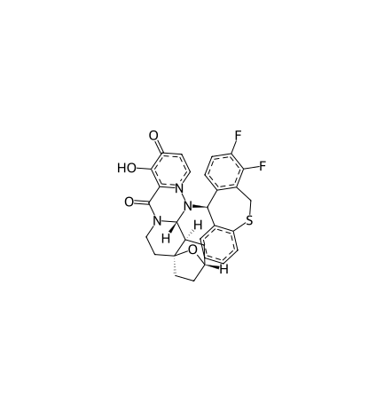 O=C1c2c(O)c(=O)ccn2N([C@@H]2c3ccccc3SCc3c2ccc(F)c3F)[C@@H]2[C@H]3C[C@@H]4CC[C@@]3(CCN12)O4